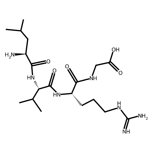 CC(C)C[C@H](N)C(=O)N[C@H](C(=O)N[C@@H](CCCNC(=N)N)C(=O)NCC(=O)O)C(C)C